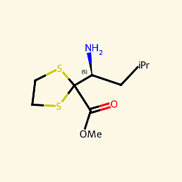 COC(=O)C1([C@@H](N)CC(C)C)SCCS1